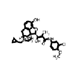 COc1ccc(NC(=O)/C(C)=C(\O)[C@@H]2Oc3c(O)ccc4c3[C@@]23CCN(CC2CC2)[C@H](C4)[C@@]3(C)O)cc1Cl